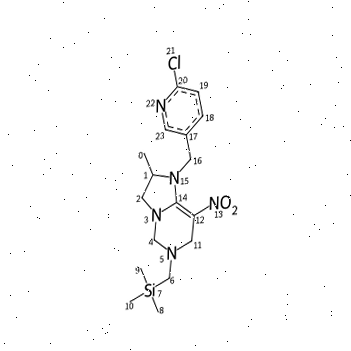 CC1CN2CN(C[Si](C)(C)C)CC([N+](=O)[O-])=C2N1Cc1ccc(Cl)nc1